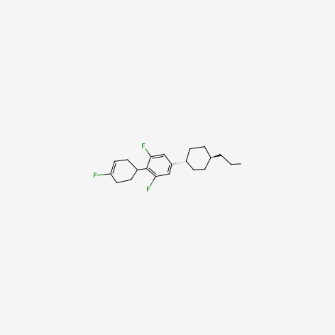 CCC[C@H]1CC[C@H](c2cc(F)c(C3CC=C(F)CC3)c(F)c2)CC1